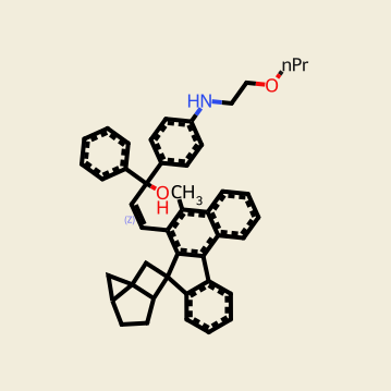 CCCOCCNc1ccc(C(O)(/C=C\c2c3c(c4ccccc4c2C)-c2ccccc2C32CC34CC3CCC24)c2ccccc2)cc1